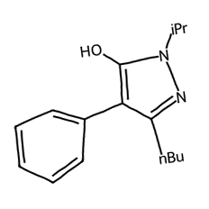 CCCCc1nn(C(C)C)c(O)c1-c1ccccc1